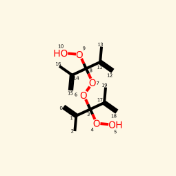 C=C(C)C(OO)(OOC(OO)(C(=C)C)C(=C)C)C(=C)C